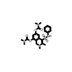 CC1=C(S(=O)(=O)Nc2ccccc2)c2cc(OC(=O)N(C)C)cc(OC(=O)N(C)C)c2CN1C